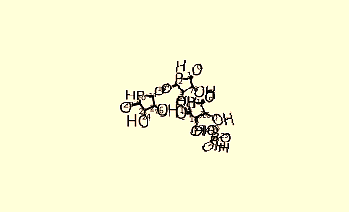 O=C1PC(=O)C(O)C1O.O=C1PC(=O)C(O)C1O.O=C1PC(=O)C(O)C1O.OB(O)O